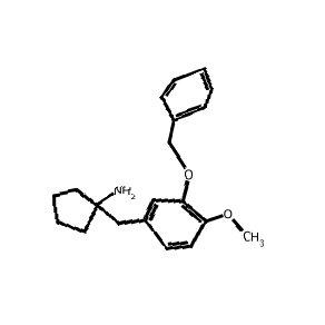 COc1ccc(CC2(N)CCCC2)cc1OCc1ccccc1